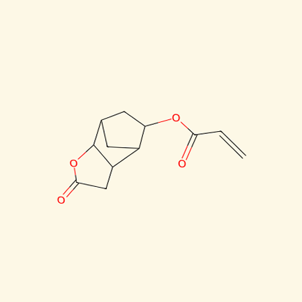 C=CC(=O)OC1CC2CC1C1CC(=O)OC21